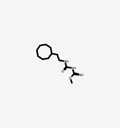 COC(=N)NC(=O)NCCC1CCCCCCC1